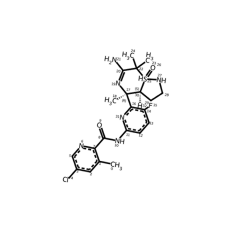 Cc1cc(Cl)cnc1C(=O)Nc1ccc(F)c([C@@]2(C)N=C(N)C(C)(C)[SH]3(=O)NCC[C@@H]23)n1